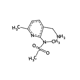 Cc1ccc(CN)c(N(C)S(C)(=O)=O)n1